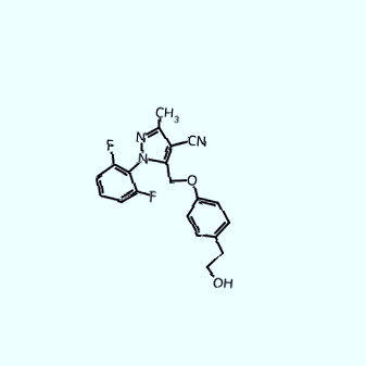 Cc1nn(-c2c(F)cccc2F)c(COc2ccc(CCO)cc2)c1C#N